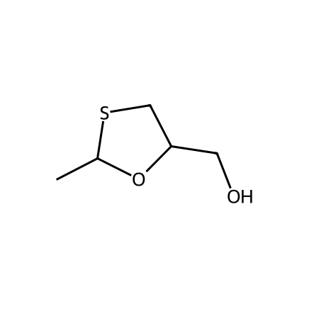 CC1OC(CO)CS1